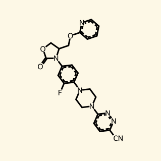 N#Cc1ccc(N2CCN(c3ccc(N4C(=O)OCC4COc4ccccn4)cc3F)CC2)nn1